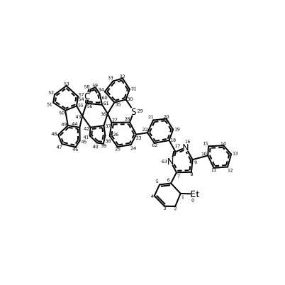 CCC1CC=CC=C1c1cc(-c2ccccc2)nc(-c2cccc(-c3cccc4c3Sc3ccccc3C43c4ccccc4C4(c5ccccc5-c5ccccc54)c4ccccc43)c2)n1